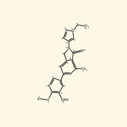 CCOc1ncc(-c2cc(C)c3c(c2)CN(c2cnn(CC(F)(F)F)c2)C3=O)cc1OC